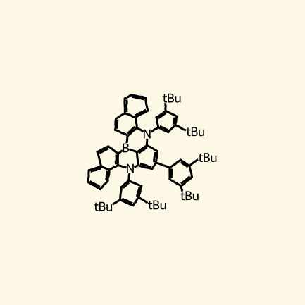 CC(C)(C)c1cc(-c2cc3c4c(c2)N(c2cc(C(C)(C)C)cc(C(C)(C)C)c2)c2c(ccc5ccccc25)B4c2ccc4ccccc4c2N3c2cc(C(C)(C)C)cc(C(C)(C)C)c2)cc(C(C)(C)C)c1